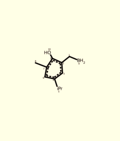 BCc1cc(C(C)C)cc(C)c1O